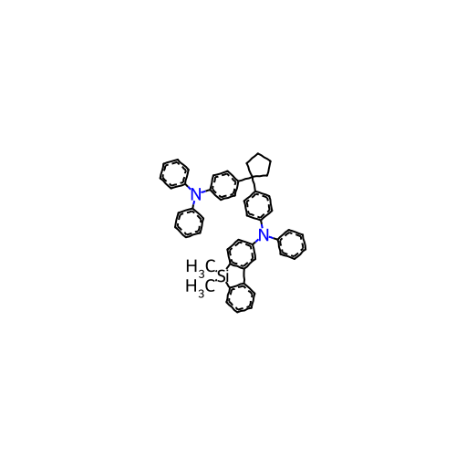 C[Si]1(C)c2ccccc2-c2cc(N(c3ccccc3)c3ccc(C4(c5ccc(N(c6ccccc6)c6ccccc6)cc5)CCCC4)cc3)ccc21